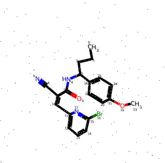 CCCC(NC(=O)C(C#N)=Cc1cccc(Br)n1)c1ccc(OC)cc1